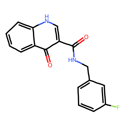 O=C(NCc1cccc(F)c1)c1c[nH]c2ccccc2c1=O